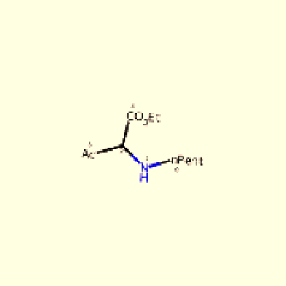 CCCCCNC(C(C)=O)C(=O)OCC